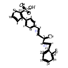 O=C(/C=C/c1ccc(-c2ccsc2S(=O)(=O)O)cc1)/C=C/c1ccccc1F